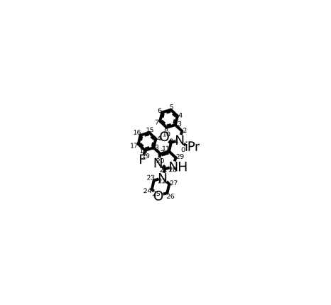 CC(C)N(Cc1ccccc1)C(=O)C1=C(c2ccccc2F)N=C(N2CCOCC2)NC1